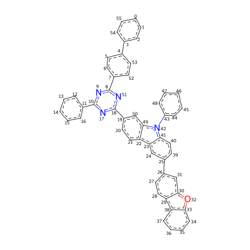 c1ccc(-c2ccc(-c3nc(-c4ccccc4)nc(-c4ccc5c6cc(-c7ccc8c(c7)oc7ccccc78)ccc6n(-c6ccccc6)c5c4)n3)cc2)cc1